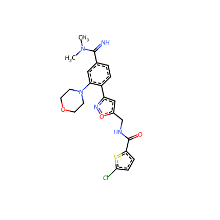 CN(C)C(=N)c1ccc(-c2cc(CNC(=O)c3ccc(Cl)s3)on2)c(N2CCOCC2)c1